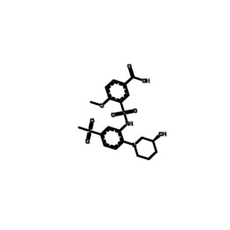 COc1ccc(C(=O)O)cc1S(=O)(=O)Nc1cc(S(C)(=O)=O)ccc1N1CCC[C@H](O)C1